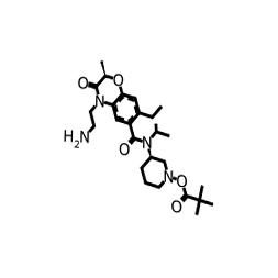 CCc1cc2c(cc1C(=O)N(C(C)C)[C@@H]1CCCN(OC(=O)C(C)(C)C)C1)N(CCN)C(=O)[C@@H](C)O2